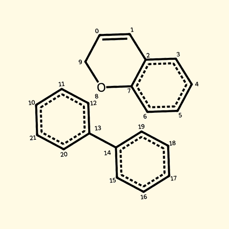 C1=Cc2ccccc2OC1.c1ccc(-c2ccccc2)cc1